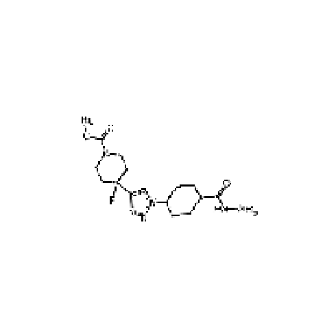 CC(C)(C)OC(=O)N1CCC(F)(c2cn(C3CCC(C(=O)NN)CC3)nn2)CC1